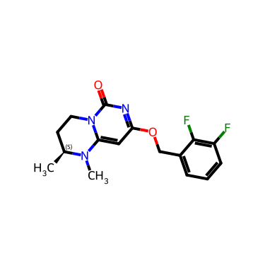 C[C@H]1CCn2c(cc(OCc3cccc(F)c3F)nc2=O)N1C